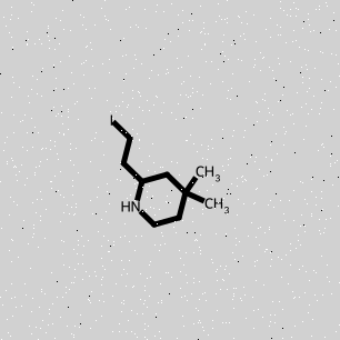 CC1(C)CCNC(CCI)C1